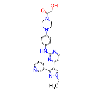 CCn1cc(-c2ccnc(Nc3ccc(N4CCN(C(=O)CO)CC4)cc3)n2)c(-c2cccnc2)n1